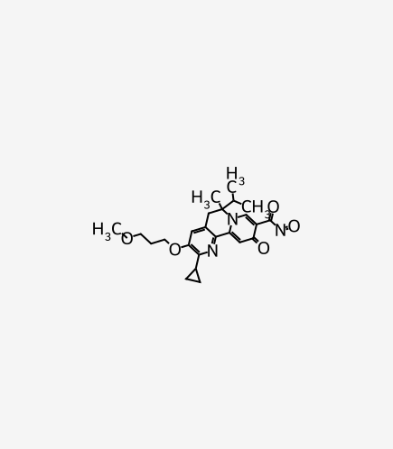 COCCCOc1cc2c(nc1C1CC1)-c1cc(=O)c(C(=O)N=O)cn1C(C)(C(C)C)C2